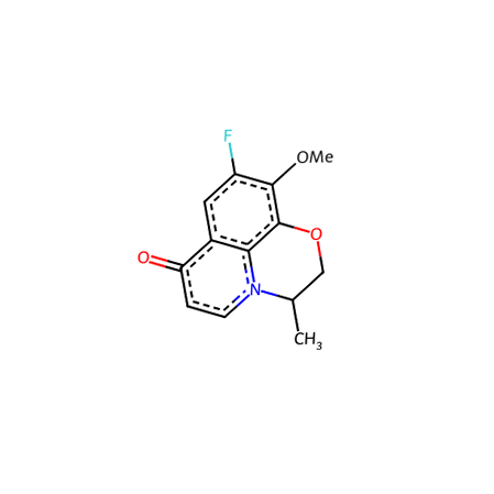 COc1c(F)cc2c(=O)ccn3c2c1OCC3C